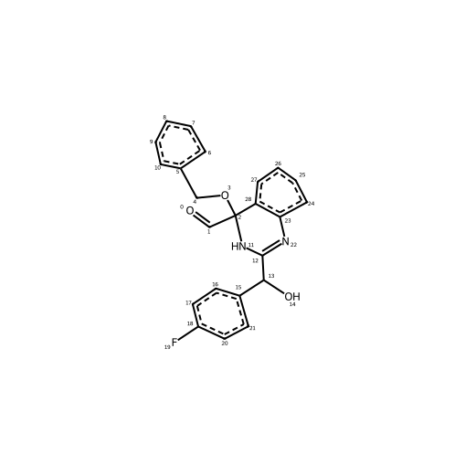 O=CC1(OCc2ccccc2)NC(C(O)c2ccc(F)cc2)=Nc2ccccc21